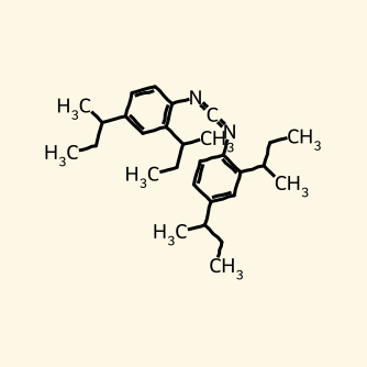 CCC(C)c1ccc(N=C=Nc2ccc(C(C)CC)cc2C(C)CC)c(C(C)CC)c1